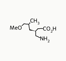 COC[C@@H](C)C[C@H](CN)CC(=O)O